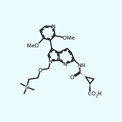 COc1ccnc(OC)c1-c1cn(COCC[Si](C)(C)C)c2nc(NC(=O)[C@@H]3C[C@H]3C(=O)O)ccc12